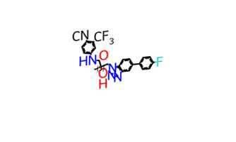 C[C@](O)(Cn1nnc2cc(-c3ccc(F)cc3)ccc21)C(=O)Nc1ccc(C#N)c(C(F)(F)F)c1